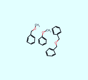 COCc1ccccc1.COc1ccccc1.c1ccc(COCc2ccccc2)cc1